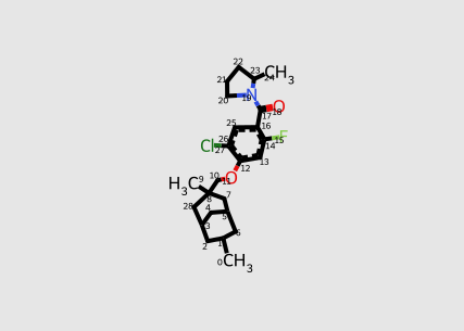 CC1CC2CC(C1)CC(C)(COc1cc(F)c(C(=O)N3CCCC3C)cc1Cl)C2